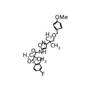 COc1ccc(COCC(C)(C)c2cc(NC(=O)C(C)(C)[S+]([O-])c3ccc(F)cc3F)on2)cc1